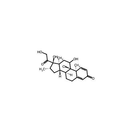 C[C@H]1C[C@H]2[C@@H]3CCC4=CC(=O)C=C[C@]4(C)[C@@]3(Cl)C(O)C[C@]2(C)[C@@]1(O)C(=O)CO